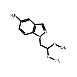 COC(Cn1ncc2cc(N)ccc21)OC